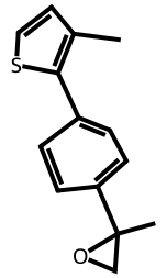 Cc1ccsc1-c1ccc(C2(C)CO2)cc1